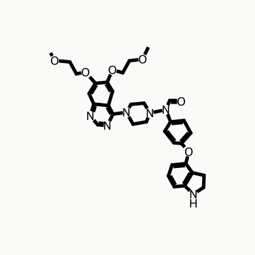 COCCOc1cc2ncnc(N3CCN(N(C=O)c4ccc(Oc5cccc6c5CCN6)cc4)CC3)c2cc1OCCOC